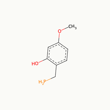 COc1ccc(CP)c(O)c1